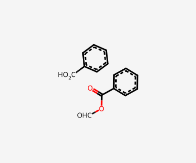 O=C(O)c1ccccc1.O=COC(=O)c1ccccc1